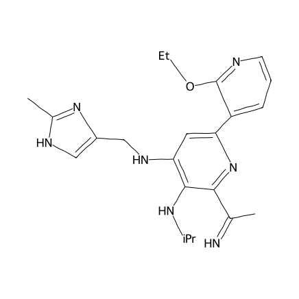 CCOc1ncccc1-c1cc(NCc2c[nH]c(C)n2)c(NC(C)C)c(C(C)=N)n1